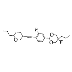 CCCC1CCC(C#Cc2ccc(C3OCC(F)(CCC)CO3)cc2F)CO1